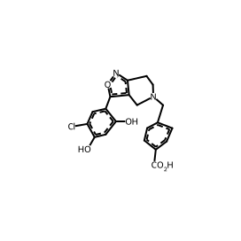 O=C(O)c1ccc(CN2CCc3noc(-c4cc(Cl)c(O)cc4O)c3C2)cc1